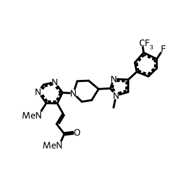 CNC(=O)/C=C/c1c(NC)ncnc1N1CCC(c2nc(-c3ccc(F)c(C(F)(F)F)c3)cn2C)CC1